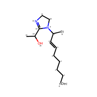 CCCCCCCCCCCCCCC=CC(CC)N1CCN=C1C(C)O